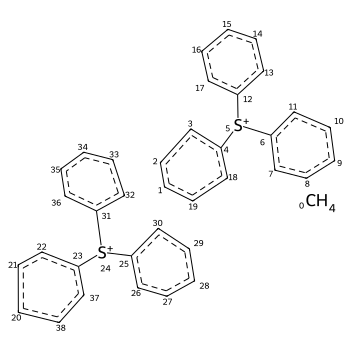 C.c1ccc([S+](c2ccccc2)c2ccccc2)cc1.c1ccc([S+](c2ccccc2)c2ccccc2)cc1